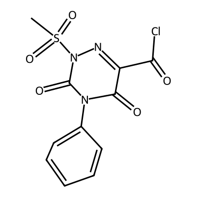 CS(=O)(=O)n1nc(C(=O)Cl)c(=O)n(-c2ccccc2)c1=O